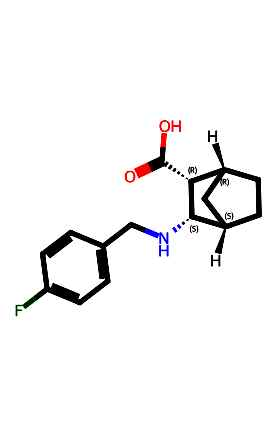 O=C(O)[C@@H]1[C@@H]2CC[C@@H](C2)[C@@H]1NCc1ccc(F)cc1